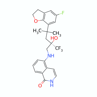 CC(C)(C[C@@](O)(CNc1cccc2c(=O)[nH]ccc12)C(F)(F)F)c1cc(F)cc2c1OCC2